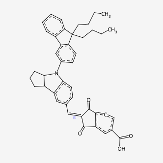 CCCCC1(CCCC)c2ccccc2-c2cc(N3c4ccc(/C=C5\C(=O)c6ccc(C(=O)O)cc6C5=O)cc4C4CCCC43)ccc21